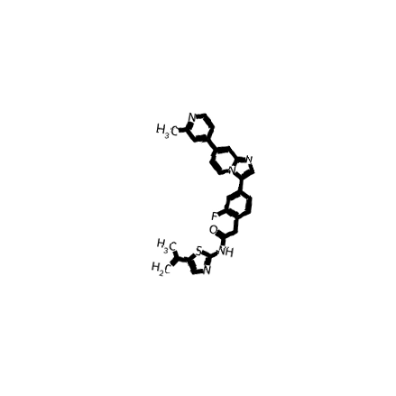 C=C(C)c1cnc(NC(=O)Cc2ccc(-c3cnc4cc(-c5ccnc(C)c5)ccn34)cc2F)s1